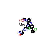 COc1nc(C2(c3ccc4c(n3)CCCC4NCC(C)O)C=CC=C(c3ccccc3Cl)C2Cl)ccc1CNC[C@@H]1CCC(=O)N1